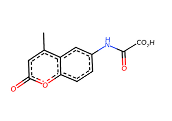 Cc1cc(=O)oc2ccc(NC(=O)C(=O)O)cc12